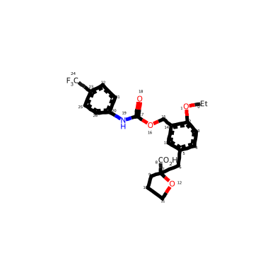 CCOc1ccc(CC2(C(=O)O)CCCO2)cc1COC(=O)Nc1ccc(C(F)(F)F)cc1